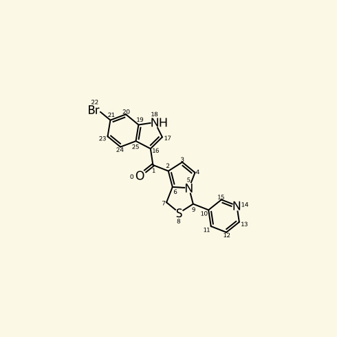 O=C(c1ccn2c1CSC2c1cccnc1)c1c[nH]c2cc(Br)ccc12